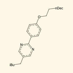 CCCCCCCCCCCCOc1ccc(-c2ncc(CC(C)CC)cn2)cc1